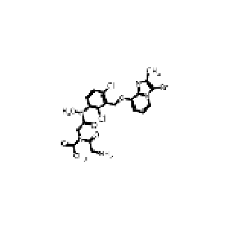 CC(=O)N(CC(=O)N(C)c1ccc(Cl)c(COc2cccn3c(Br)c(C)nc23)c1Cl)C(=O)CN